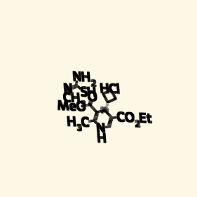 CCOC(=O)C1=CNC(C)=C(C(=O)OC)[C@@H]1C1CCC1.CN=C(N)S.Cl